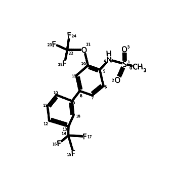 CS(=O)(=O)Nc1ccc(-c2cccc(C(F)(F)F)c2)cc1OC(F)(F)F